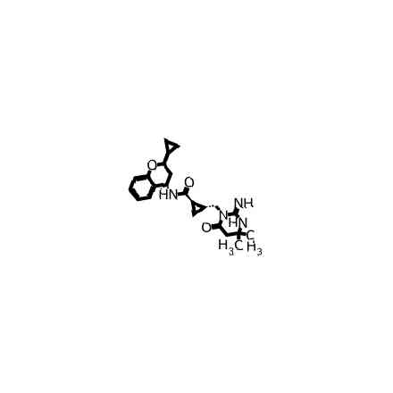 CC1(C)CC(=O)N(C[C@@H]2C[C@H]2C(=O)N[C@H]2CC(C3CC3)Oc3ccccc32)C(=N)N1